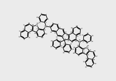 c1ccc(N(c2ccc3cc4c(cc3c2)C(c2ccccc2)(c2ccccc2)c2cc(N(c3ccccc3)c3cccc5c3oc3ccc6ccccc6c35)c3ccccc3c2-4)c2cccc3c2oc2ccc4ccccc4c23)cc1